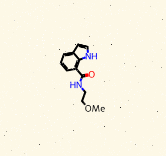 COCCNC(=O)c1cccc2[c]c[nH]c12